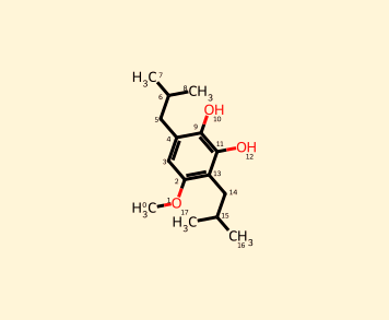 COc1cc(CC(C)C)c(O)c(O)c1CC(C)C